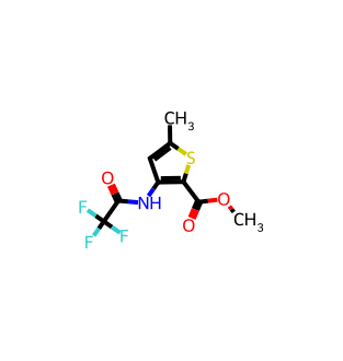 COC(=O)c1sc(C)cc1NC(=O)C(F)(F)F